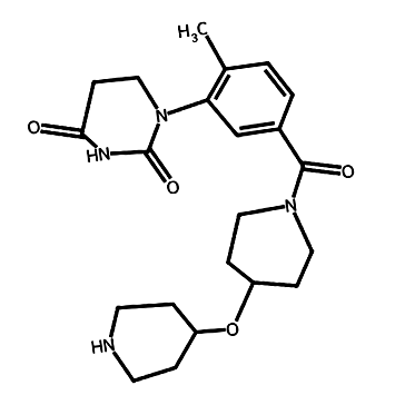 Cc1ccc(C(=O)N2CCC(OC3CCNCC3)CC2)cc1N1CCC(=O)NC1=O